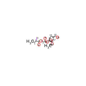 CCC(I)C(=O)OCC(=O)OC1C2CC(C=O)C(O2)C1OC